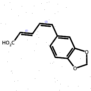 O=C(O)/C=C/C=C\c1ccc2c(c1)OCO2